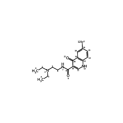 CCN(CC)CCNC(=O)c1c[nH]c2ccc([125I])cc2c1=O